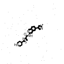 Cn1cc(-c2ccc3cnc(NC(=O)c4csc(C5CCNCC5)n4)cc3c2)cn1